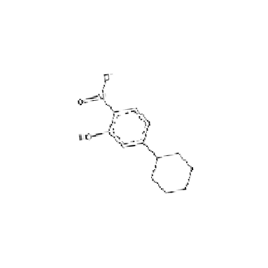 O=[N+]([O-])c1ccc(C2CCCCC2)cc1O